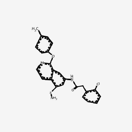 Cc1ccc(Oc2nccc3c(SN)cc(NC(=O)Cc4ccccc4Cl)cc23)cc1